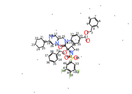 O=C(OCc1ccccc1)c1ccc(N(Cc2cnc(C3CCCCC3)cn2)C(=O)[C@]2(OCc3ccccc3)CCN2S(=O)(=O)c2cc(F)c(F)c(F)c2)cc1